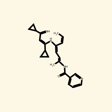 C\C=C/C(=C\C=C(/C)NC(=O)c1cccnc1)N/C(=C\C(=N)C1CC1)C1CC1